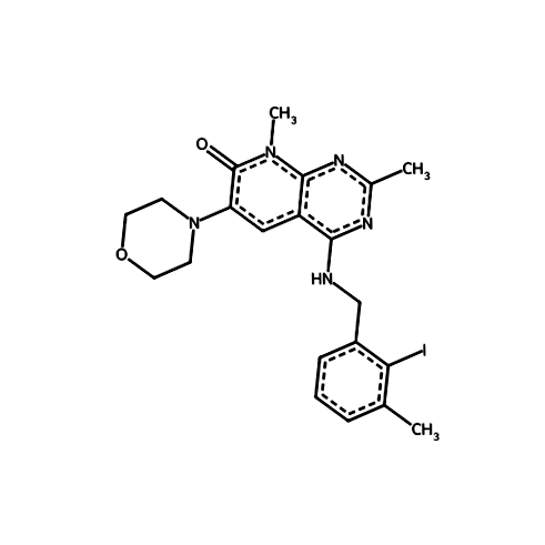 Cc1nc(NCc2cccc(C)c2I)c2cc(N3CCOCC3)c(=O)n(C)c2n1